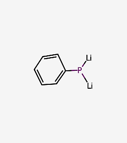 [Li][P]([Li])c1ccccc1